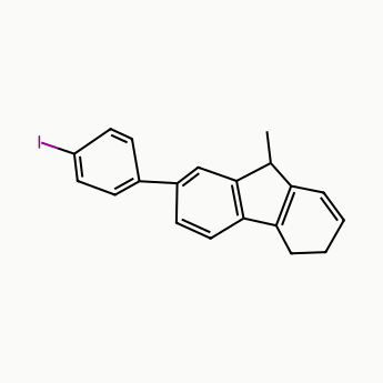 CC1C2=C(CCC=C2)c2ccc(-c3ccc(I)cc3)cc21